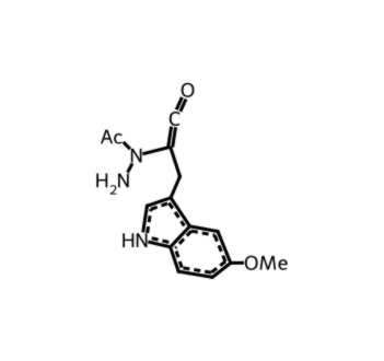 COc1ccc2[nH]cc(CC(=C=O)N(N)C(C)=O)c2c1